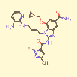 CCn1nc(C)cc1C(=O)Nc1nc2cc(C(N)=O)cc(OCC3CC3)c2n1CC=CCNc1ncccc1N